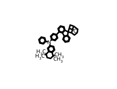 CC1(C)CCC(C)(C)c2cc(N(c3ccccc3)c3ccc(-c4cccc5c4-c4ccccc4C54C5CC6CC7CC4C75C6)cc3)ccc21